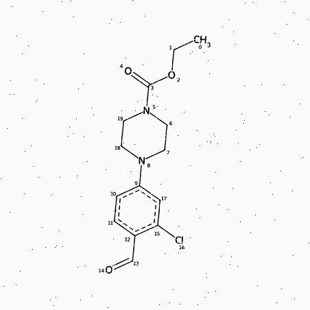 CCOC(=O)N1CCN(c2ccc(C=O)c(Cl)c2)CC1